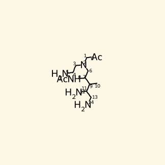 CC(=O)CN(CCN)CC(NC(C)=O)C(C)C(N)CN